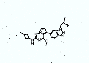 COc1nc(NC2CC(C)C2)nn2ccc(-c3ccc4nnn(CC(F)F)c4c3)c12